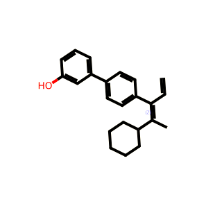 C=C/C(=C(\C)C1CCCCC1)c1ccc(-c2cccc(O)c2)cc1